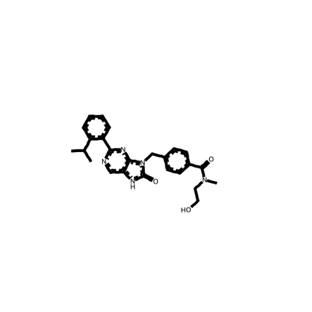 CC(C)c1ccccc1-c1ncc2[nH]c(=O)n(Cc3ccc(C(=O)N(C)CCO)cc3)c2n1